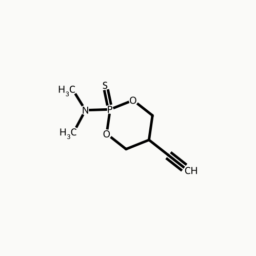 C#CC1COP(=S)(N(C)C)OC1